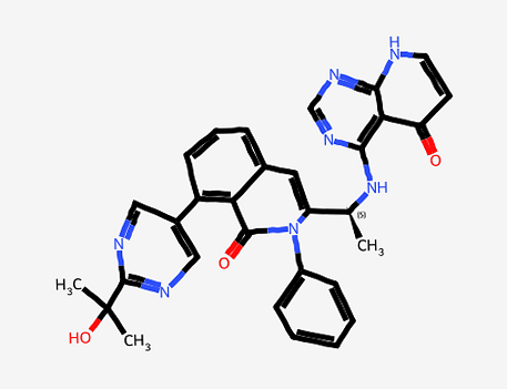 C[C@H](Nc1ncnc2[nH]ccc(=O)c12)c1cc2cccc(-c3cnc(C(C)(C)O)nc3)c2c(=O)n1-c1ccccc1